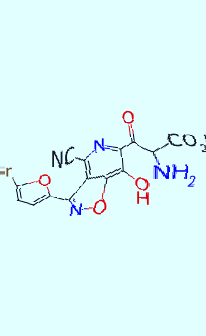 N#Cc1nc(C(=O)C(N)C(=O)O)c(O)c2onc(-c3ccc(Br)o3)c12